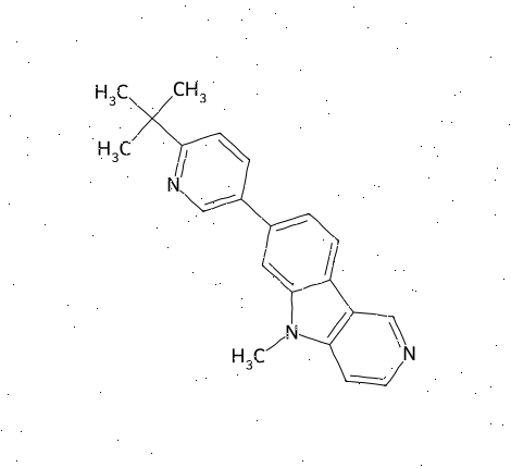 Cn1c2ccncc2c2ccc(-c3ccc(C(C)(C)C)nc3)cc21